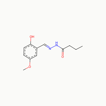 CCCC(=O)N/N=C/c1cc(OC)ccc1O